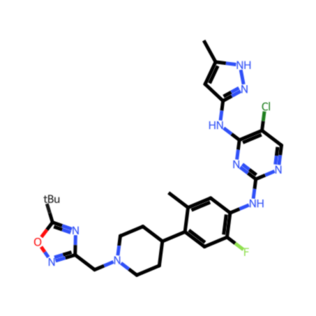 Cc1cc(Nc2nc(Nc3cc(C)c(C4CCN(Cc5noc(C(C)(C)C)n5)CC4)cc3F)ncc2Cl)n[nH]1